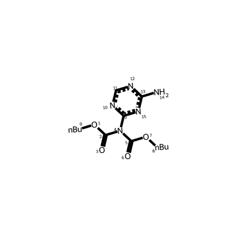 CCCCOC(=O)N(C(=O)OCCCC)c1ncnc(N)n1